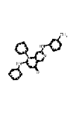 Cc1cccc(Nc2cc3c(cn2)c(=O)cc(Nc2ccccc2)n3-c2ccccc2)c1